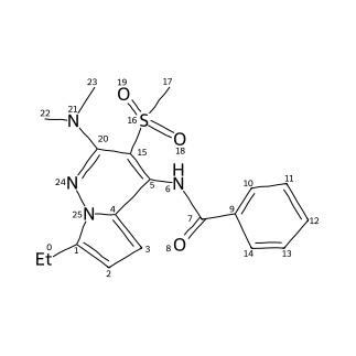 CCc1ccc2c(NC(=O)c3ccccc3)c(S(C)(=O)=O)c(N(C)C)nn12